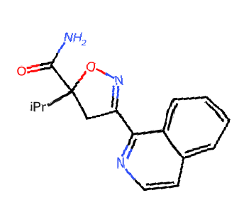 CC(C)C1(C(N)=O)CC(c2nccc3ccccc23)=NO1